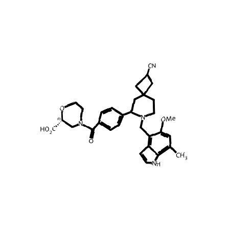 COc1cc(C)c2[nH]ccc2c1CN1CCC2(CC(C#N)C2)CC1c1ccc(C(=O)N2CCO[C@@H](C(=O)O)C2)cc1